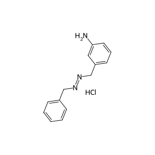 Cl.Nc1cccc(CN=NCc2ccccc2)c1